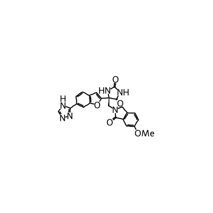 COc1ccc2c(c1)C(=O)N(C[C@@]1(c3cc4ccc(-c5nnc[nH]5)cc4o3)NC(=O)NC1=O)C2